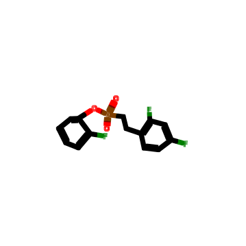 O=S(=O)(CCc1ccc(F)cc1F)Oc1ccccc1F